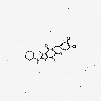 Cn1c(NC2CCCCC2)nc2c1c(=O)n(Cc1ccc(Cl)c(Cl)c1)c(=O)n2C